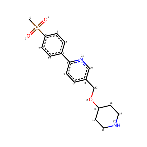 CS(=O)(=O)c1ccc(-c2ccc(COC3CCNCC3)cn2)cc1